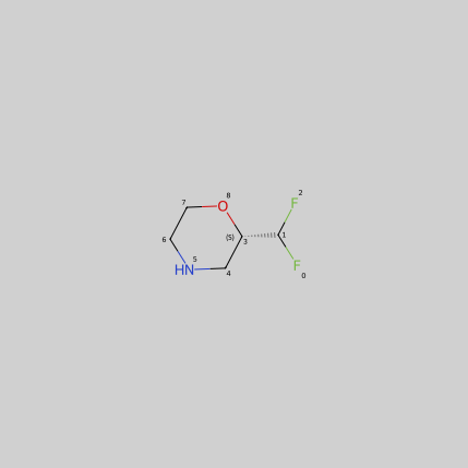 FC(F)[C@@H]1CNCCO1